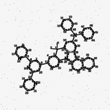 CC1(C)c2cc(-c3cc(-c4ccccn4)nc(-c4ccccn4)c3)ccc2-n2c3ccc4ccccc4c3c3cc(N(c4ccccc4)c4ccccc4)cc1c32